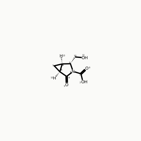 O=C(O)N1C(=O)[C@H]2C[C@H]2[C@@H]1CO